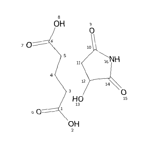 O=C(O)CCCC(=O)O.O=C1CC(O)C(=O)N1